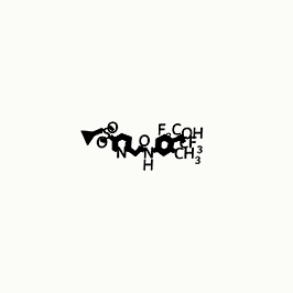 Cc1cc(NC(=O)Cc2ccc(S(=O)(=O)CC3CC3)cn2)ccc1C(O)(C(F)(F)F)C(F)(F)F